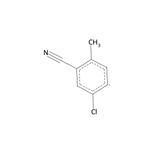 Cc1c[c]c(Cl)cc1C#N